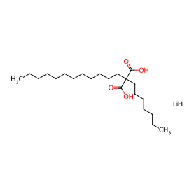 CCCCCCCCCCCCC(CCCCCCC)(C(=O)O)C(=O)O.[LiH]